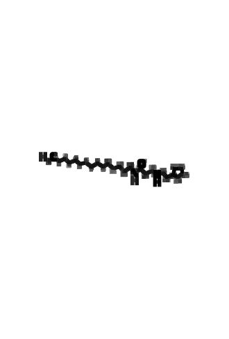 CCCCCCCCCCCCCCCNC(=O)CCNCCC1CCCC1